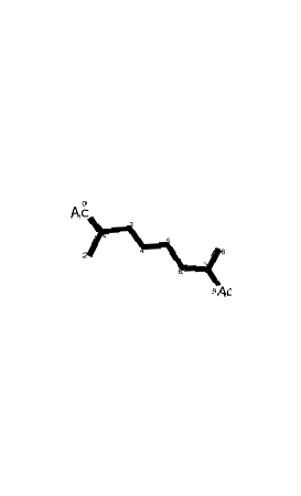 CC(=O)C(C)CCCCC(C)C(C)=O